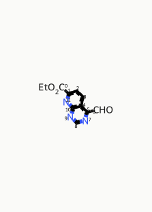 CCOC(=O)c1ccc2c(C=O)ncnc2n1